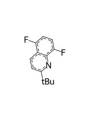 CC(C)(C)c1ccc2c(F)ccc(F)c2n1